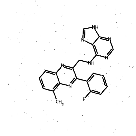 Cc1cccc2nc(CNc3ncnc4[nH]cnc34)c(-c3ccccc3F)nc12